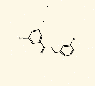 O=C(CCc1cccc(Br)c1)c1cccc(Br)c1